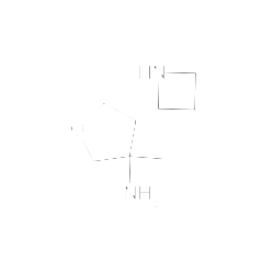 [CH2]C1(N)CCOC1.[CH]1CNC1